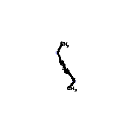 CCCCCCCC/C=C\CCCCCCCCC1CCN(CCSSCCN2CCC(CCCCCCCC/C=C\CCCCCCCC)CC2)CC1